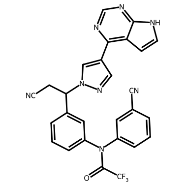 N#CCC(c1cccc(N(C(=O)C(F)(F)F)c2cccc(C#N)c2)c1)n1cc(-c2ncnc3[nH]ccc23)cn1